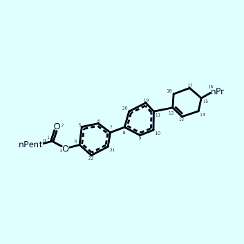 CCCCCC(=O)Oc1ccc(-c2ccc(C3=CCC(CCC)CC3)cc2)cc1